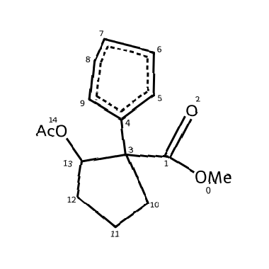 COC(=O)C1(c2ccccc2)CCCC1OC(C)=O